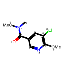 COc1ncc(C(=O)N(C)OC)cc1Cl